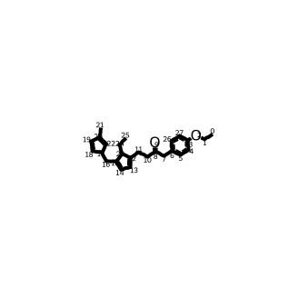 CCOc1ccc(CC(=O)CCC2=CC=C(CC3C=CC(C)=C3)C2CC)cc1